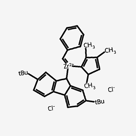 CC1=CC(C)[C](/[Zr+2](=[CH]\c2ccccc2)[CH]2c3cc(C(C)(C)C)ccc3-c3ccc(C(C)(C)C)cc32)=C1C.[Cl-].[Cl-]